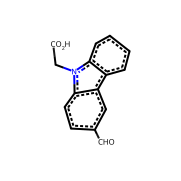 O=Cc1ccc2c(c1)c1ccccc1n2CC(=O)O